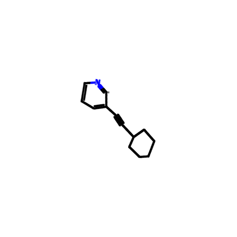 C(#CC1CCCCC1)c1[c]nccc1